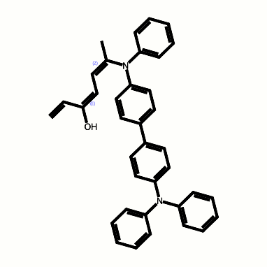 C=C/C(O)=C\C=C(\C)N(c1ccccc1)c1ccc(-c2ccc(N(c3ccccc3)c3ccccc3)cc2)cc1